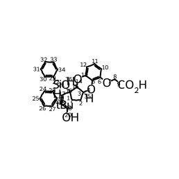 CC(C)(C)[C@H]1C[C@@H]2Oc3c(OCC(=O)O)cccc3O[C@H]2[C@]1(C=CCO)O[SiH](c1ccccc1)c1ccccc1